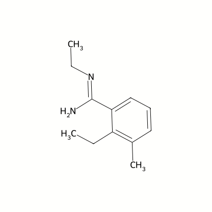 CC/N=C(\N)c1cccc(C)c1CC